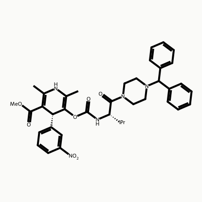 COC(=O)C1=C(C)NC(C)=C(OC(=O)N[C@H](C(=O)N2CCN(C(c3ccccc3)c3ccccc3)CC2)C(C)C)[C@@H]1c1cccc([N+](=O)[O-])c1